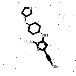 CC(C)(C)C#Cc1cc(N[C@H]2CC[C@H](O[C@H]3CCOC3)CC2)c(C(=O)O)s1